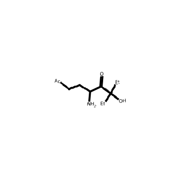 CCC(O)(CC)C(=O)C(N)CCC(C)=O